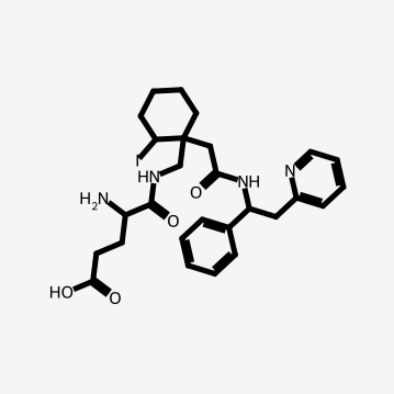 NC(CCC(=O)O)C(=O)NCC1(CC(=O)NC(Cc2ccccn2)c2ccccc2)CCCCC1I